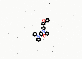 c1ccc(N(c2ccccc2)c2ccc3c(c2)Oc2ccccc2N3c2ccc(-c3ccc4oc5ccccc5c4c3)cc2)cc1